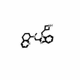 CN(Cc1nc2ccccc2n1CC1CNC1)C1CCCc2cccnc21